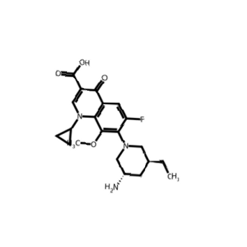 CC[C@H]1C[C@H](N)CN(c2c(F)cc3c(=O)c(C(=O)O)cn(C4CC4)c3c2OC)C1